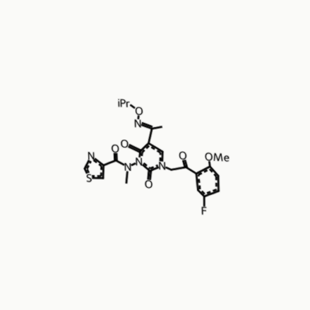 COc1ccc(F)cc1C(=O)Cn1cc(/C(C)=N/OC(C)C)c(=O)n(N(C)C(=O)c2cscn2)c1=O